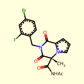 CC(=O)NC(=O)[C@]1(C)C(=O)N(Cc2ccc(Br)cc2F)C(=O)c2cccn21